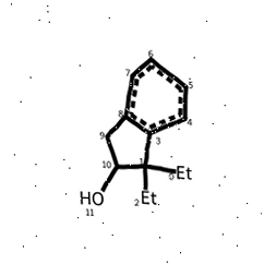 CCC1(CC)c2ccccc2CC1O